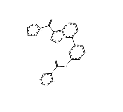 O=C(Nc1cccc(-c2ccnc3c(C(=O)c4cccs4)cnn23)c1)c1cn[nH]c1